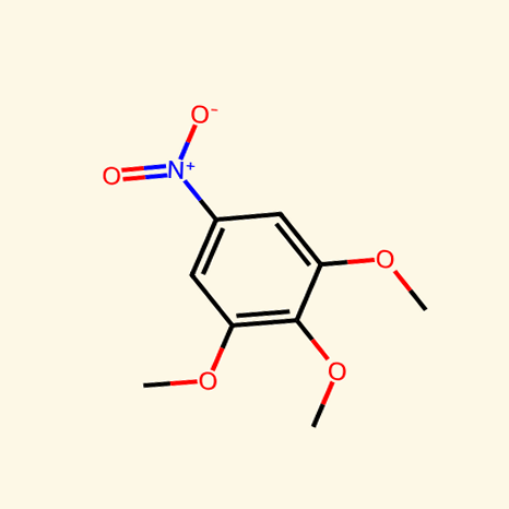 COc1cc([N+](=O)[O-])cc(OC)c1OC